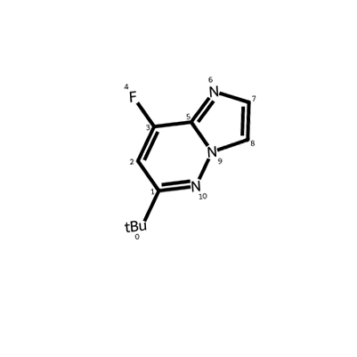 CC(C)(C)c1cc(F)c2nccn2n1